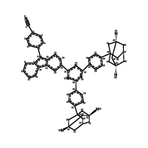 N#Cc1ccc(-n2c3ccccc3c3cc(-c4nc(-c5ccc(C67CC8C[C@H](C6)C[C@@H](C8)C7)cc5)nc(-c5ccc(C67CC8C[C@H](C6)C[C@@H](C8)C7)cc5)n4)ccc32)cc1